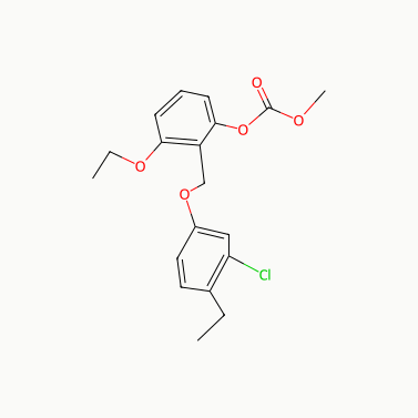 CCOc1cccc(OC(=O)OC)c1COc1ccc(CC)c(Cl)c1